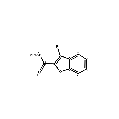 CCCCCC(=O)c1sc2ccccc2c1Br